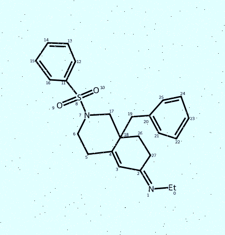 CC/N=C1/C=C2CCN(S(=O)(=O)c3ccccc3)CC2(Cc2ccccc2)CC1